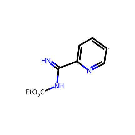 CCOC(=O)NC(=N)c1cc[c]cn1